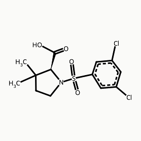 CC1(C)CCN(S(=O)(=O)c2cc(Cl)cc(Cl)c2)[C@@H]1C(=O)O